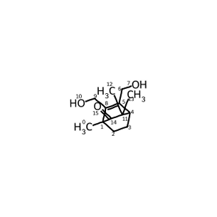 CC12CCC(C(CO)=C1CO)C(C)(C)C2=O